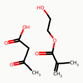 C=C(C)C(=O)OCCO.CC(=O)CC(=O)O